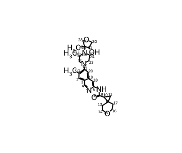 Cc1cc2cnc(NC(=O)C3CC34CCOCC4)cc2cc1N1CCN(C2(C)COCC2O)[C@@H](C)C1